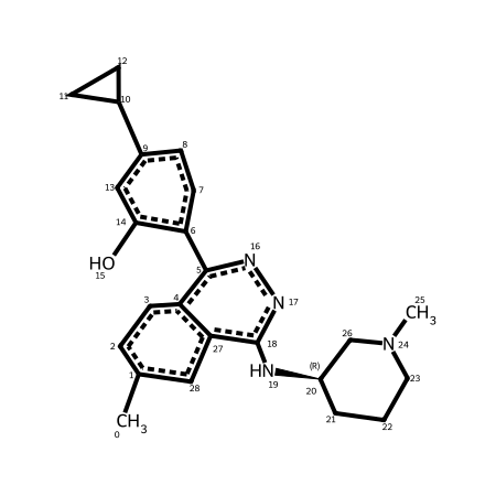 Cc1ccc2c(-c3ccc(C4CC4)cc3O)nnc(N[C@@H]3CCCN(C)C3)c2c1